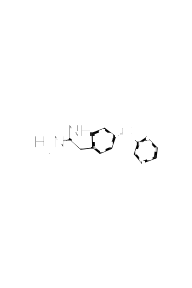 N=C(N)Cc1ccc(Oc2ccccc2)cc1